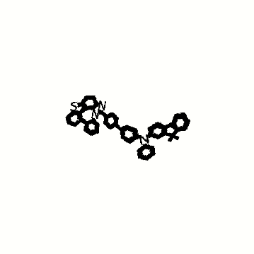 CC1(C)c2ccccc2-c2ccc(N(c3ccccc3)c3ccc(-c4ccc(-c5nc6ccc7sc8cccc9c%10ccccc%10n5c6c7c89)cc4)cc3)cc21